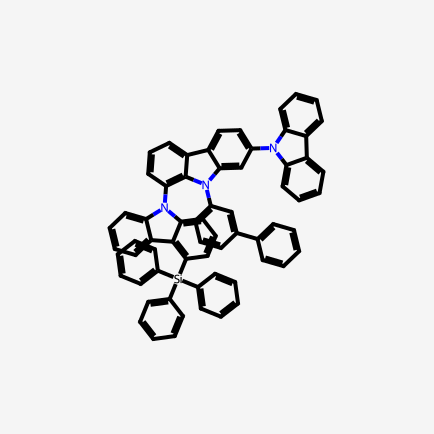 c1ccc(-c2cccc(-n3c4cc(-n5c6ccccc6c6ccccc65)ccc4c4cccc(-n5c6ccccc6c6c([Si](c7ccccc7)(c7ccccc7)c7ccccc7)cccc65)c43)c2)cc1